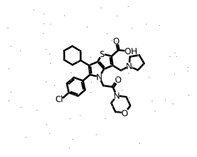 O=C(O)c1sc2c(C3CCCCC3)c(-c3ccc(Cl)cc3)n(CC(=O)N3CCOCC3)c2c1CN1CCCC1